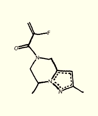 C=C(F)C(=O)N1Cc2cc(C)nn2C(C)C1